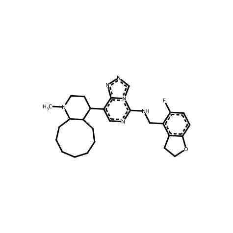 CN1CCC(c2cnc(NCc3c(F)ccc4c3CCO4)n3cnnc23)C2CCCCCCCC21